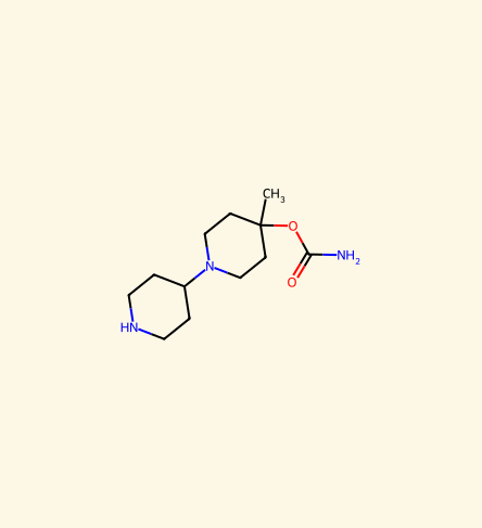 CC1(OC(N)=O)CCN(C2CCNCC2)CC1